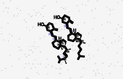 C=C1CC[C@H](O)C/C1=C/C=C1\CCC[C@]2(C)[C@@H]([C@H](C)/C=C/[C@H](C)C(C)C)CC[C@@H]12.C=C1CC[C@H](O)C/C1=C/C=C1\CCC[C@]2(C)[C@@H]([C@H](C)CCCC(C)C)CC[C@@H]12